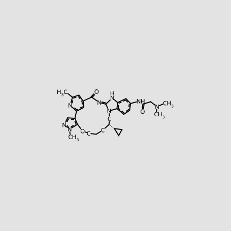 Cc1cc2cc(n1)-c1cnn(C)c1OCCC[C@@H](C1CC1)CN1/C(=N/C2=O)Nc2cc(NC(=O)CN(C)C)ccc21